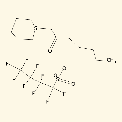 CCCCCC(=O)C[S+]1CCCCC1.O=S(=O)([O-])C(F)(F)C(F)(F)C(F)(F)C(F)(F)F